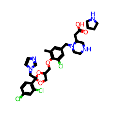 C1CCNC1.Cc1cc(CN2CCNCC2CC(=O)O)cc(Cl)c1OCC1COC(Cn2ccnc2)(c2ccc(Cl)cc2Cl)O1